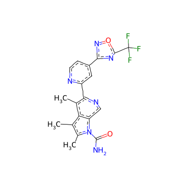 Cc1c(-c2cc(-c3noc(C(F)(F)F)n3)ccn2)ncc2c1c(C)c(C)n2C(N)=O